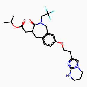 CC(C)OC(=O)CC1Cc2ccc(OCCc3cn4c(n3)NCCC4)cc2CN(CC(F)(F)F)C1=O